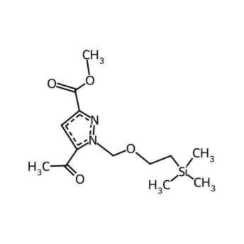 COC(=O)c1cc(C(C)=O)n(COCC[Si](C)(C)C)n1